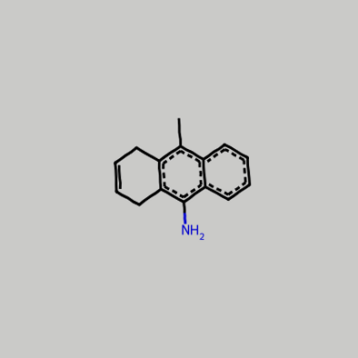 Cc1c2c(c(N)c3ccccc13)CC=CC2